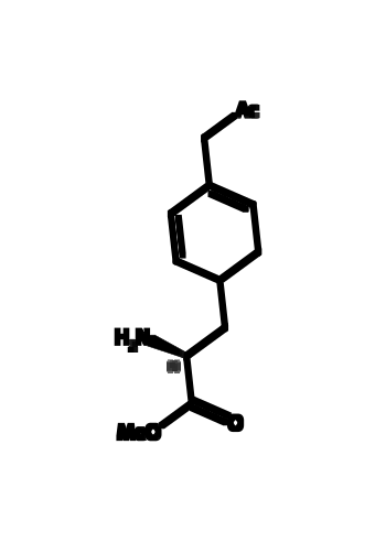 COC(=O)[C@@H](N)CC1C=CC(CC(C)=O)=CC1